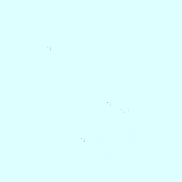 CCn1c(=O)c2c(C)[nH]nc2c2cc(C#CCN3CCCC3C(=O)O)ccc21